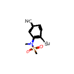 CN(c1cc(C#N)ccc1C(C)(C)C)S(C)(=O)=O